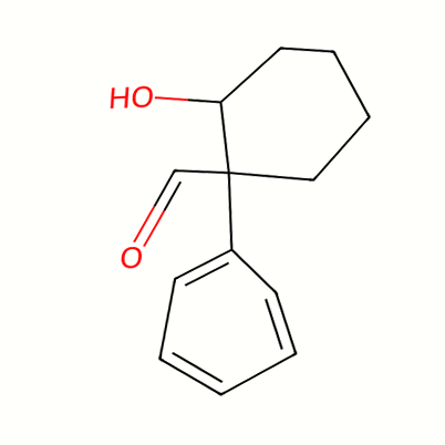 O=CC1(c2ccccc2)CCCCC1O